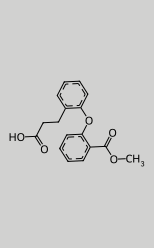 COC(=O)c1ccccc1Oc1ccccc1CCC(=O)O